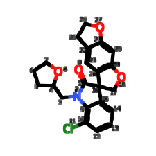 O=C1N(CC2CCCO2)c2c(Cl)cccc2C12COc1cc3c(cc12)CCO3